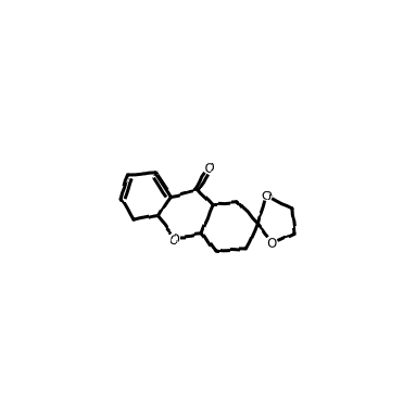 O=C1C2=CC=CCC2OC2CCC3(CC12)OCCO3